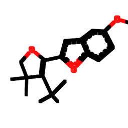 COc1ccc2oc(C3=C(C(C)(C)C)C(C)(C)CO3)cc2c1